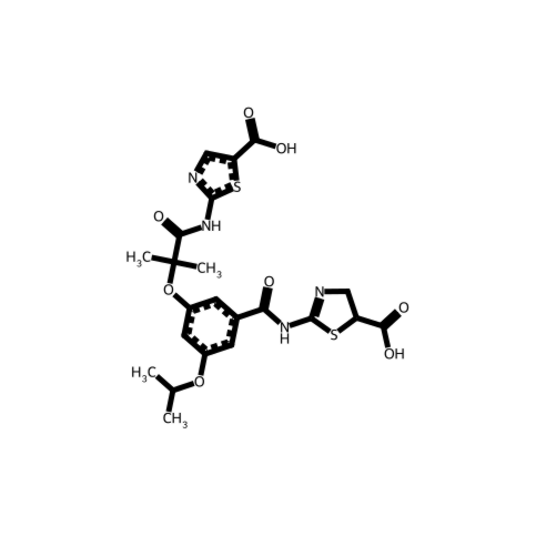 CC(C)Oc1cc(OC(C)(C)C(=O)Nc2ncc(C(=O)O)s2)cc(C(=O)NC2=NCC(C(=O)O)S2)c1